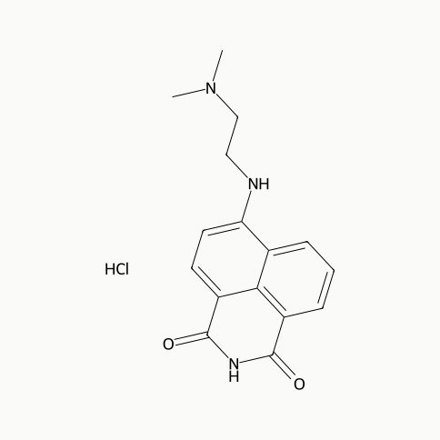 CN(C)CCNc1ccc2c3c(cccc13)C(=O)NC2=O.Cl